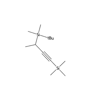 CC(C#C[Si](C)(C)C)[Si](C)(C)C(C)(C)C